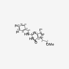 COCCn1nc(F)c2nc(NCc3ccc(F)c(F)c3)[nH]c(=O)c21